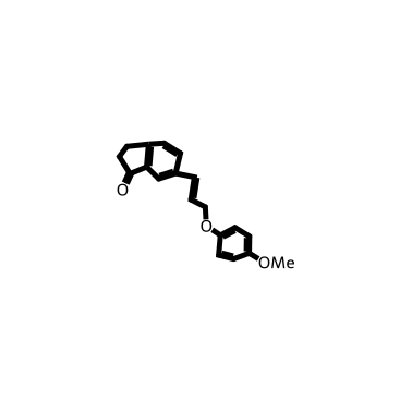 COc1ccc(OCC=Cc2ccc3c(c2)C(=O)CC3)cc1